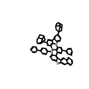 c1ccc(-c2ccc(N3B4c5c(cc(-c6ccccc6)cc5-n5c6ccc(C78CC9CC(CC(C9)C7)C8)cc6c6cc(C78CC9CC(CC(C9)C7)C8)cc4c65)-c4c3ccc3sc5cc6ccccc6cc5c43)cc2)cc1